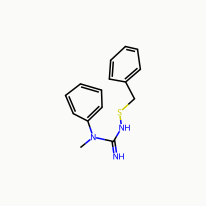 CN(C(=N)NSCc1ccccc1)c1ccccc1